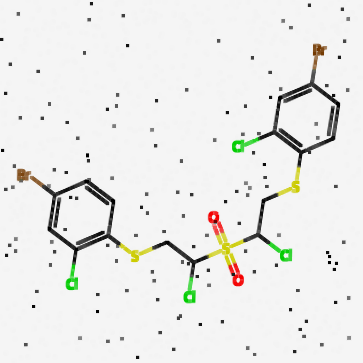 O=S(=O)(C(Cl)CSc1ccc(Br)cc1Cl)C(Cl)CSc1ccc(Br)cc1Cl